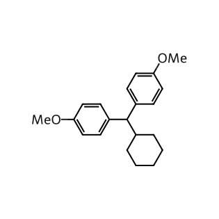 COc1ccc(C(c2ccc(OC)cc2)C2CCCCC2)cc1